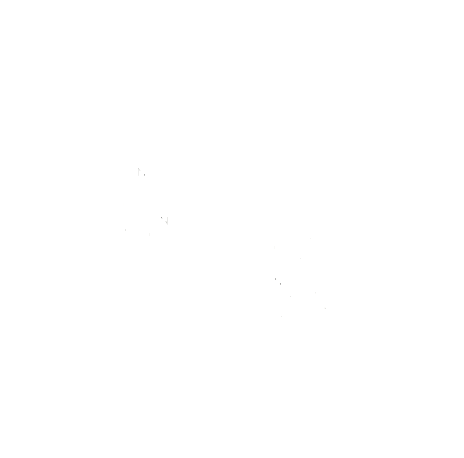 CC(C)(C)OC(=O)N(CCCc1ccc2c3c(cccc13)C(=O)N2C1CCC(=O)NC1=O)C(=O)OC(C)(C)C